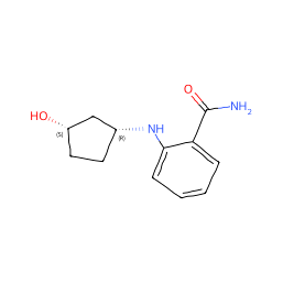 NC(=O)c1ccccc1N[C@@H]1CC[C@H](O)C1